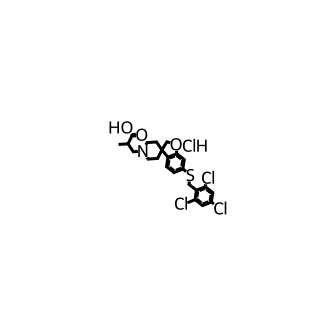 CC(CN1CCC2(CC1)COc1cc(SCc3c(Cl)cc(Cl)cc3Cl)ccc12)C(=O)O.Cl